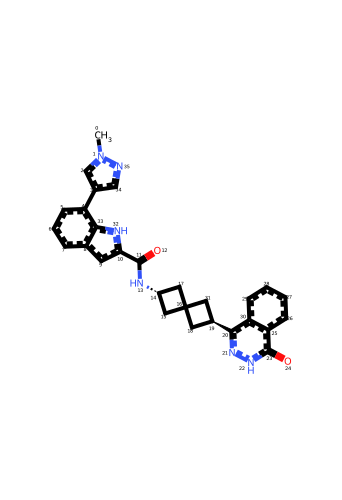 Cn1cc(-c2cccc3cc(C(=O)N[C@H]4CC5(C4)C[C@H](c4n[nH]c(=O)c6ccccc64)C5)[nH]c23)cn1